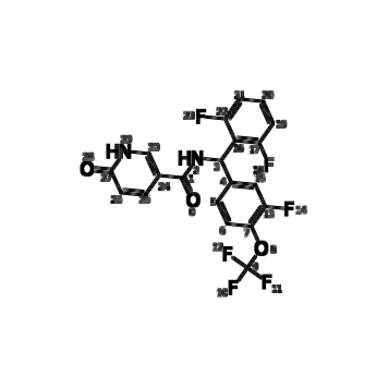 O=C(NC(c1ccc(OC(F)(F)F)c(F)c1)c1c(F)cccc1F)c1ccc(=O)[nH]c1